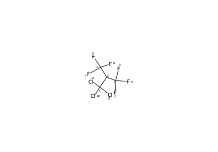 FC(F)(F)[C](C(F)(F)F)C(Cl)(Cl)Cl